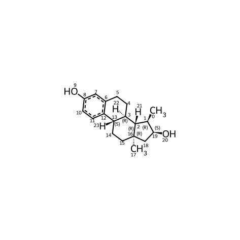 C[C@@H]1[C@H]2[C@@H]3CCc4cc(O)ccc4[C@H]3CC[C@]2(C)C[C@@H]1O